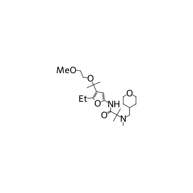 CCc1oc(NC(=O)C(C)(C)N(C)CC2CCOCC2)cc1C(C)(C)OCCOC